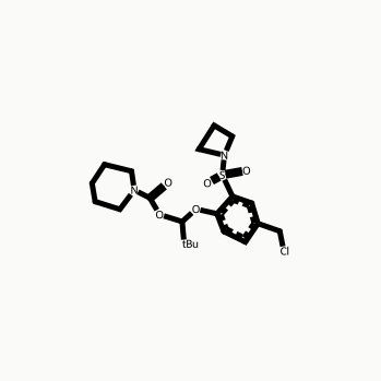 CC(C)(C)C(OC(=O)N1CCCCC1)Oc1ccc(CCl)cc1S(=O)(=O)N1CCC1